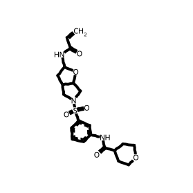 C=CC(=O)NC1CC2CN(S(=O)(=O)c3cccc(NC(=O)C4CCOCC4)c3)CC2O1